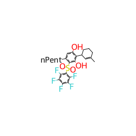 CCCCCc1cc(O)c(C2C=C(C)CCC2)c(O)c1S(=O)(=O)c1c(F)c(F)c(F)c(F)c1F